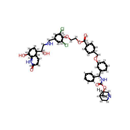 O=C(N[C@@H](c1ccccc1)c1cccc(OCc2ccc(C(=O)OCCOc3c(Cl)cc(CNC[C@H](O)c4ccc(O)c5[nH]c(=O)ccc45)cc3Cl)cc2)c1)O[C@H]1CN2CCC1CC2